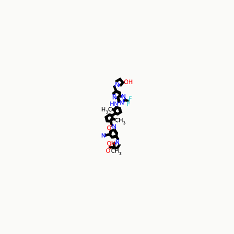 Cc1c(Nc2nc(C(F)F)nc3cc(CN4CC[C@@H](O)C4)cnc23)cccc1-c1cccc(-c2nc3cc(CN4CC[C@](C)(C(=O)O)C4)cc(C#N)c3o2)c1C